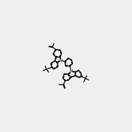 C=C(C)c1ccc2c(c1)c1cc(C(C)(C)C)ccc1n2-c1cccc(-n2c3ccc(C(=C)C)cc3c3cc(C(C)(C)C)ccc32)c1